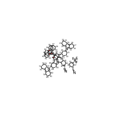 N#Cc1cc(-c2cc(-n3c4ccc(-n5c6ccccc6c6ccccc65)cc4c4cc(-n5c6ccccc6c6ccccc65)ccc43)c(-n3c4ccc(-n5c6ccccc6c6ccccc65)cc4c4cc(-n5c6ccccc6c6ccccc65)ccc43)cc2C#N)cc(C(F)(F)F)c1